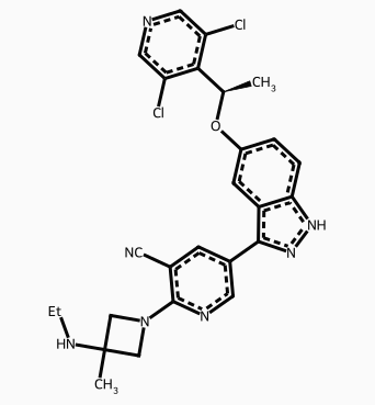 CCNC1(C)CN(c2ncc(-c3n[nH]c4ccc(O[C@H](C)c5c(Cl)cncc5Cl)cc34)cc2C#N)C1